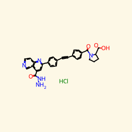 Cl.NNC(=O)c1cc(-c2ccc(C#Cc3ccc(C(=O)N4CCCC4C(=O)O)cc3)cc2)nc2ccncc12